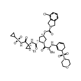 CC[C@@H]1C[C@]1(NC(=O)[C@@H]1C[C@@H](OC(=O)N2Cc3cccc(Cl)c3C2)CN1C(=O)[C@@H](NC1=CC(S(=O)(=O)N2CCOCC2)CC=C1)C(C)(C)C)C(=O)NS(=O)(=O)C1CC1